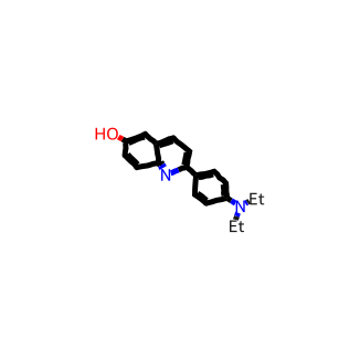 CCN(CC)c1ccc(-c2ccc3cc(O)ccc3n2)cc1